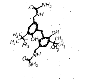 CC(C)(C)c1cc(CNC(N)=O)cc(Cc2cc(CNC(N)=O)cc(C(C)(C)C)c2O)c1O